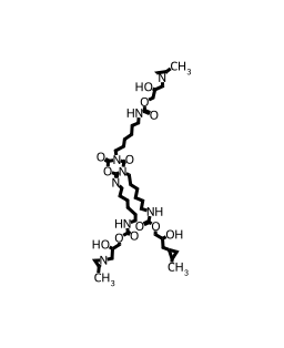 CC1CC1CC(O)COC(=O)NCCCCCCn1c(=O)n(CCCCCCNC(=O)OCC(O)CN2CC2C)c(=O)o/c1=N/CCCCCCNC(=O)OCC(O)CN1CC1C